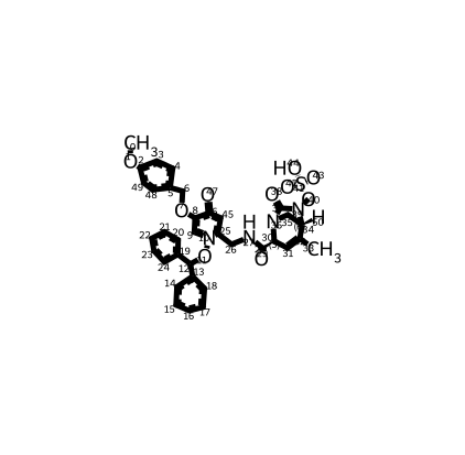 COc1ccc(COc2cn(OC(c3ccccc3)c3ccccc3)c(CNC(=O)[C@@H]3C=C(C)[C@@H]4CN3C(=O)N4OS(=O)(=O)O)cc2=O)cc1